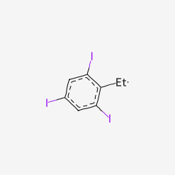 C[CH]c1c(I)cc(I)cc1I